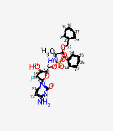 C[C@H](NP(=O)(OC[C@H]1O[C@@H](n2ccc(N)nc2=O)C(F)C1O)Oc1ccccc1)C(=O)OCc1ccccc1